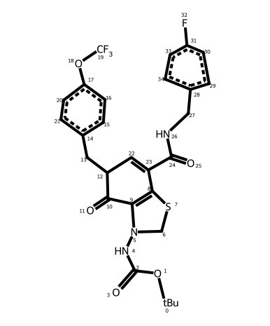 CC(C)(C)OC(=O)NN1CSC2=C1C(=O)C(Cc1ccc(OC(F)(F)F)cc1)C=C2C(=O)NCc1ccc(F)cc1